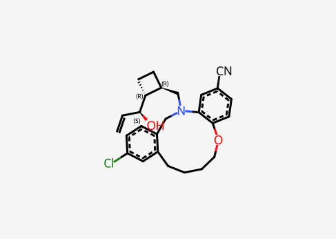 C=C[C@H](O)[C@@H]1CC[C@H]1CN1Cc2ccc(Cl)cc2CCCCOc2ccc(C#N)cc21